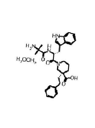 CC(C)(N)C(=O)N[C@H](Cc1c[nH]c2ccccc12)C(=O)N1CCC[C@@](CCc2ccccc2)(C(=O)O)C1.O.O